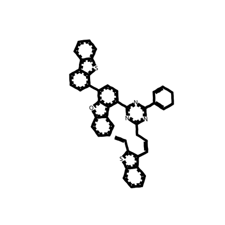 C=Cc1sc2ccccc2c1/C=C\Cc1nc(C2=CCCC=C2)nc(-c2ccc(-c3cccc4c3sc3ccccc34)c3oc4ccccc4c23)n1